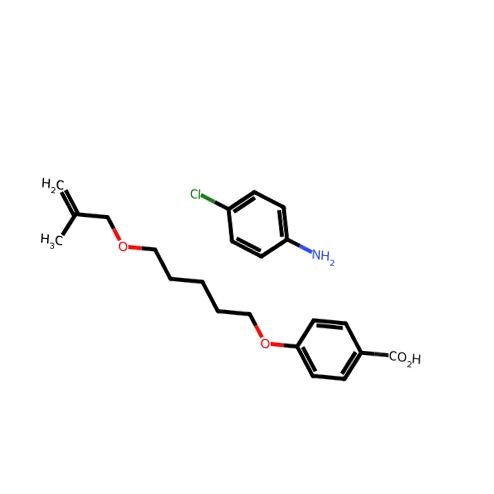 C=C(C)COCCCCCOc1ccc(C(=O)O)cc1.Nc1ccc(Cl)cc1